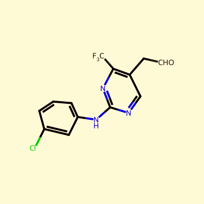 O=CCc1cnc(Nc2cccc(Cl)c2)nc1C(F)(F)F